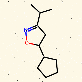 CC(C)C1=NOC(C2CCCC2)C1